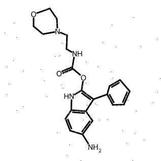 Nc1ccc2[nH]c(OC(=O)NCCN3CCOCC3)c(-c3ccccc3)c2c1